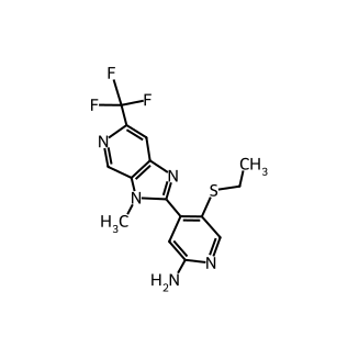 CCSc1cnc(N)cc1-c1nc2cc(C(F)(F)F)ncc2n1C